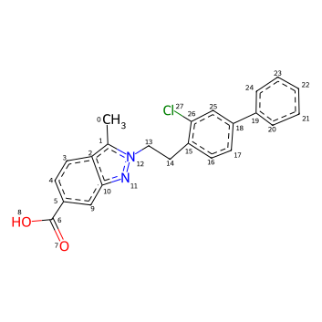 Cc1c2ccc(C(=O)O)cc2nn1CCc1ccc(-c2ccccc2)cc1Cl